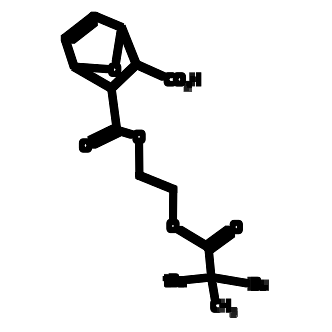 CCC(C)C(C)(C(=O)OCCOC(=O)C1C2C=CC(O2)C1C(=O)O)C(C)(C)C